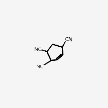 N#CC1C=CC(C#N)C(C#N)C1